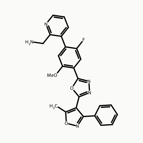 COc1cc(-c2cccnc2CN)c(F)cc1-c1nnc(-c2c(-c3ccccc3)noc2C)o1